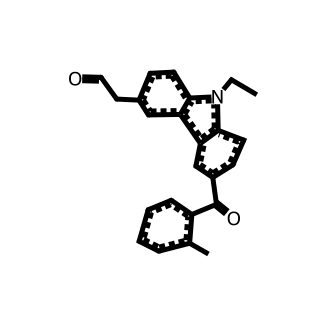 CCn1c2ccc(CC=O)cc2c2cc(C(=O)c3ccccc3C)ccc21